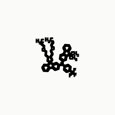 C=CCOCCCCC1(CCCCOCC=C)c2ccccc2-c2ccc(N(c3ccc(C(F)(F)F)cc3)c3ccc4c(c3)C(C)(C)c3ccccc3-4)cc21